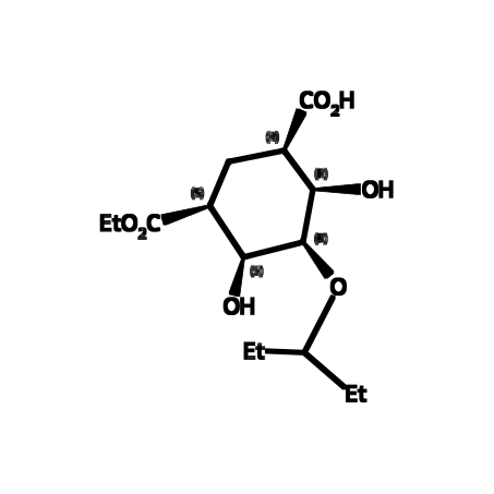 CCOC(=O)[C@H]1C[C@@H](C(=O)O)[C@@H](O)[C@@H](OC(CC)CC)[C@H]1O